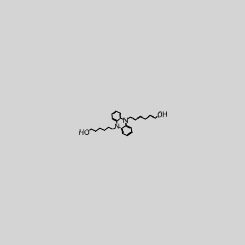 OCCCCCCN1c2ccccc2N(CCCCCCO)c2ccccc21